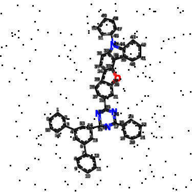 c1ccc(-c2cc(-c3ccccc3)cc(-c3nc(-c4ccccc4)nc(-c4ccc5c(c4)oc4c5ccc5c4c4ccccc4n5-c4ccccc4)n3)c2)cc1